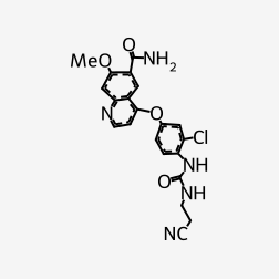 COc1cc2nccc(Oc3ccc(NC(=O)NCCC#N)c(Cl)c3)c2cc1C(N)=O